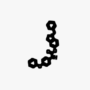 O=C(Nc1ccc(Oc2ccccc2)cc1)Oc1ccc2c(c1)CCN2Cc1ccccc1